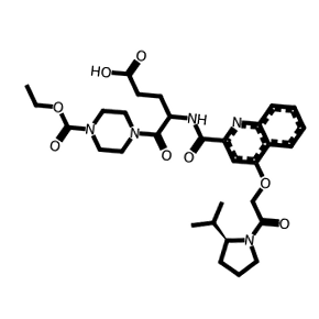 CCOC(=O)N1CCN(C(=O)C(CCC(=O)O)NC(=O)c2cc(OCC(=O)N3CCC[C@H]3C(C)C)c3ccccc3n2)CC1